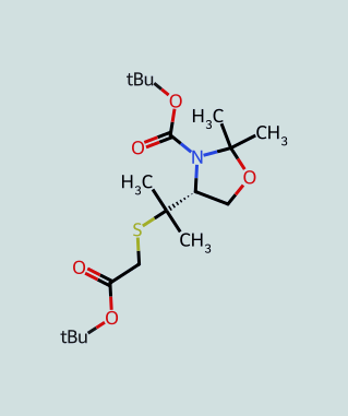 CC(C)(C)OC(=O)CSC(C)(C)[C@H]1COC(C)(C)N1C(=O)OC(C)(C)C